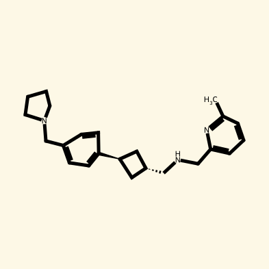 Cc1cccc(CNC[C@H]2C[C@H](c3ccc(CN4CCCC4)cc3)C2)n1